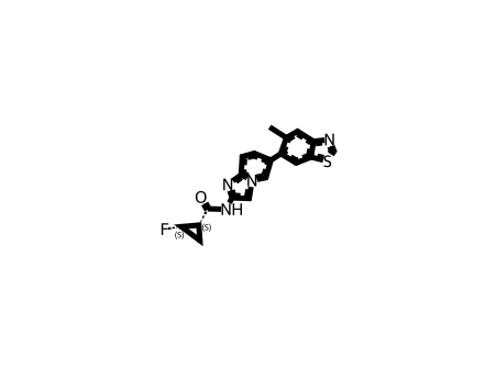 Cc1cc2ncsc2cc1-c1ccc2nc(NC(=O)[C@@H]3C[C@@H]3F)cn2c1